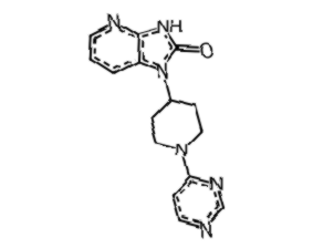 O=c1[nH]c2ncccc2n1C1CCN(c2ccncn2)CC1